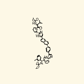 COC(=O)N[C@H](C(=O)N1CCC[C@H]1c1ncc(-c2ccc3cc(-c4ccc(-c5cnc([C@@H]6CCCN6C(=O)C(c6cccc(C)c6)N(C)C(=O)OC)[nH]5)cc4)ccc3c2)[nH]1)C(C)C